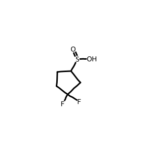 O=S(O)C1CCC(F)(F)C1